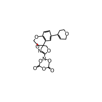 O=C1OC(=O)ON(C2=NC3(CO2)c2cc(C4=CCOCC4)ccc2OCC32COC2)O1